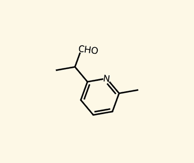 Cc1cccc(C(C)C=O)n1